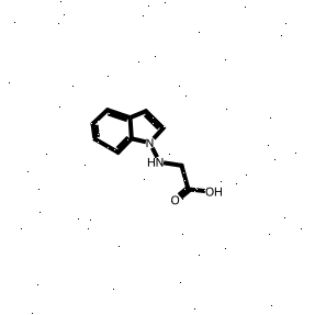 O=C(O)CNn1ccc2ccccc21